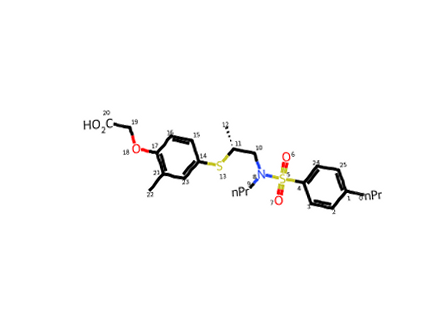 CCCc1ccc(S(=O)(=O)N(CCC)C[C@@H](C)Sc2ccc(OCC(=O)O)c(C)c2)cc1